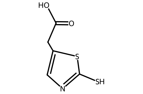 O=C(O)Cc1cnc(S)s1